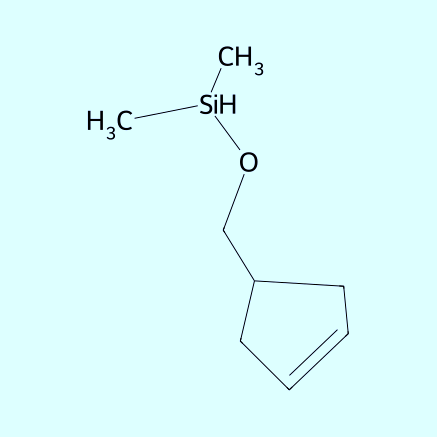 C[SiH](C)OCC1CC=CC1